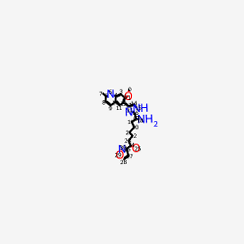 COc1cc2nc(C)ccc2cc1-c1c[nH]c([C@@H](N)CCCCCC(=O)c2ccon2)n1